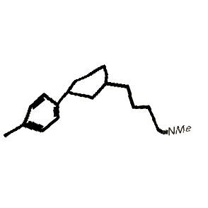 CNCCCCC1CCC(c2ccc(C)cc2)C1